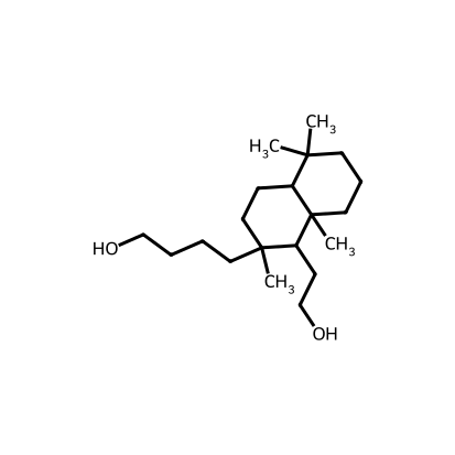 CC1(C)CCCC2(C)C1CCC(C)(CCCCO)C2CCO